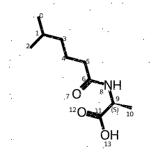 CC(C)CCCC(=O)N[C@@H](C)C(=O)O